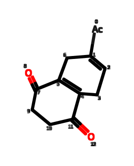 CC(=O)C1=CCC2=C(C1)C(=O)CCC2=O